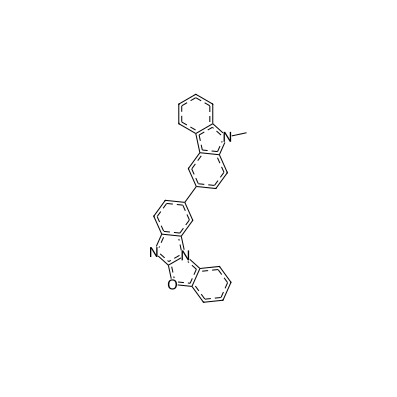 Cn1c2ccccc2c2cc(-c3ccc4nc5oc6ccccc6n5c4c3)ccc21